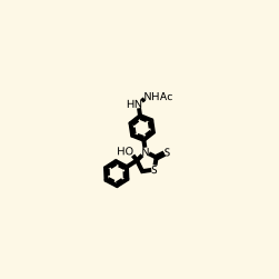 CC(=O)NNc1ccc(N2C(=S)SCC2(O)c2ccccc2)cc1